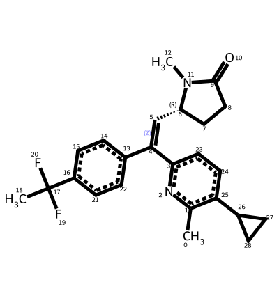 Cc1nc(/C(=C\[C@H]2CCC(=O)N2C)c2ccc(C(C)(F)F)cc2)ccc1C1CC1